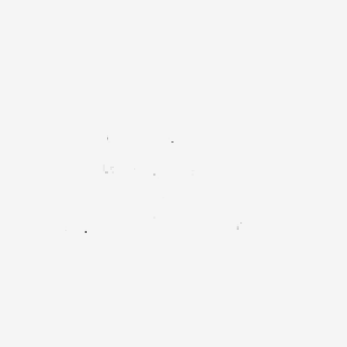 CCC1(c2cccc([N+](=O)[O-])c2)C(C(=O)O)=C(C)N=c2sc(=Cc3ccc(C)o3)c(=O)n21